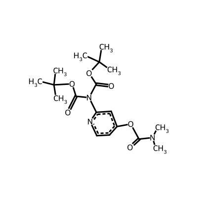 CN(C)C(=O)Oc1ccnc(N(C(=O)OC(C)(C)C)C(=O)OC(C)(C)C)c1